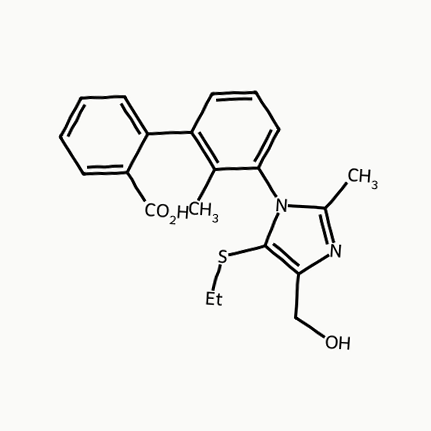 CCSc1c(CO)nc(C)n1-c1cccc(-c2ccccc2C(=O)O)c1C